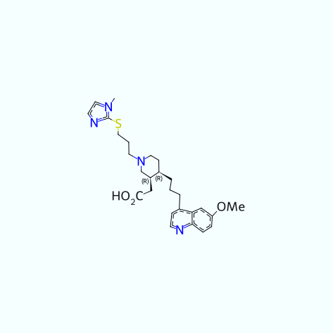 COc1ccc2nccc(CCC[C@@H]3CCN(CCCSc4nccn4C)C[C@@H]3CC(=O)O)c2c1